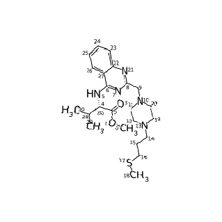 COC(=O)[C@@H](Nc1nc(CN2CCN(CCCSC)CC2)nc2ccccc12)C(C)C